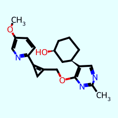 COc1ccc(C2=C(COc3nc(C)ncc3[C@@H]3CCC[C@H](O)C3)C2)nc1